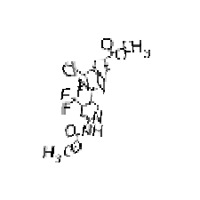 COC(=O)Nc1cc(C(F)(F)F)c(-c2nc(Cl)c3cc(C(=O)OC)cn3n2)cn1